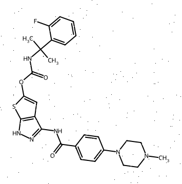 CN1CCN(c2ccc(C(=O)Nc3n[nH]c4sc(OC(=O)NC(C)(C)c5ccccc5F)cc34)cc2)CC1